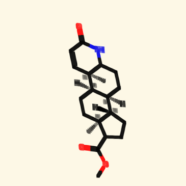 COC(=O)C1CC[C@H]2[C@@H]3CCC4NC(=O)C=C[C@]4(C)[C@@H]3CC[C@]12C